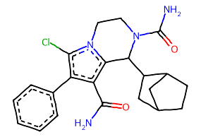 NC(=O)c1c(-c2ccccc2)c(Cl)n2c1C(C1CC3CCC1C3)N(C(N)=O)CC2